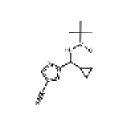 CC(C)(C)[S@+]([O-])NC(c1cc(C#N)cs1)C1CC1